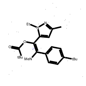 CCn1nc(C)cc1/C(OC(=O)C(C)(C)C)=C(/NC)c1ccc(C(C)(C)C)cc1